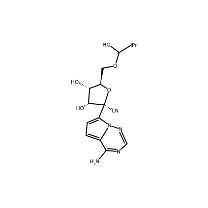 CC(C)C(O)OC[C@H]1O[C@@](C#N)(c2ccc3c(N)ncnn23)[C@H](O)[C@@H]1O